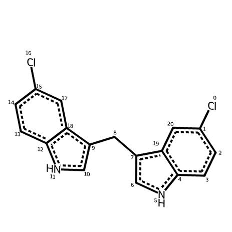 Clc1ccc2[nH]cc(Cc3c[nH]c4ccc(Cl)cc34)c2c1